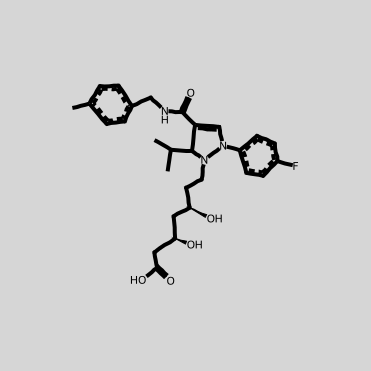 Cc1ccc(CNC(=O)C2=CN(c3ccc(F)cc3)N(CC[C@@H](O)C[C@@H](O)CC(=O)O)C2C(C)C)cc1